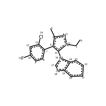 CCn1nc(C)c(-c2ccc(F)cc2Cl)c1-n1cnc2ccccc21